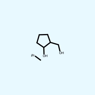 CC(C)C.OCC1CCCC1O